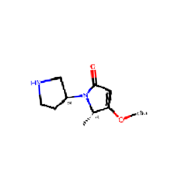 C[C@H]1C(OC(C)(C)C)=CC(=O)N1[C@H]1CCNC1